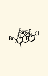 Cc1[c]c(Br)nc(C(F)(C(F)(F)F)C(F)(F)F)c1Cc1ccc(Cl)nc1